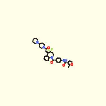 Cc1occc1C(=O)Nc1ccc(C(=O)N2CCC(F)(F)/C(=C\C(=O)N3CCC(N4CCCCC4)CC3)c3ccccc32)cc1